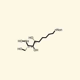 CCCCCCCCCCCCCC[C@@H](O)[C@@H](O)[C@H](CO)NO